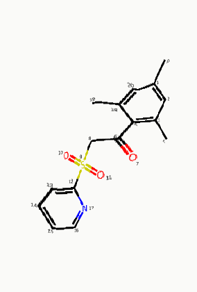 Cc1cc(C)c(C(=O)CS(=O)(=O)c2ccccn2)c(C)c1